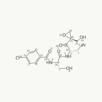 CC(C)C[C@H](NC(=O)[C@H](CO)NC(=O)c1ccc(Cl)cc1)C(=O)[C@@]1(CO)CO1